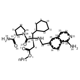 CCCOC(=O)C[C@@](CC1CCCCC1)(NCc1ccc2c(N)nccc2c1)C(=O)N1CCC[C@H]1C(N)=O